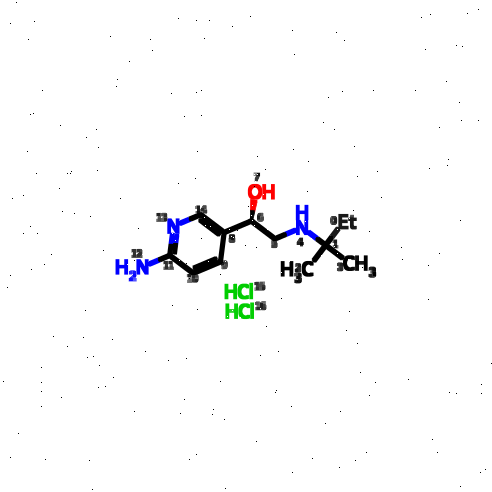 CCC(C)(C)NC[C@H](O)c1ccc(N)nc1.Cl.Cl